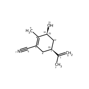 C=C(C)[C@H]1CC(C#N)=C(C)[C@@H](O)C1